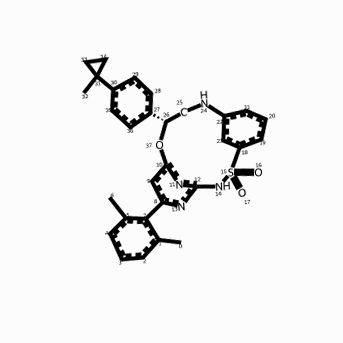 Cc1cccc(C)c1-c1cc2nc(n1)NS(=O)(=O)c1cccc(c1)NC[C@@H](c1ccc(C3(C)CC3)cc1)O2